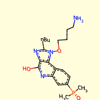 CCCCc1nc2c(O)nc3cc(P(C)(C)=O)ccc3c2n1OCCCCN